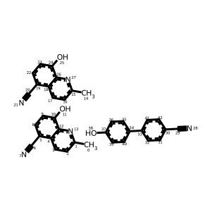 Cc1ccc2c(C#N)ccc(O)c2n1.Cc1ccc2c(C#N)ccc(O)c2n1.N#Cc1ccc(-c2ccc(O)cc2)cc1